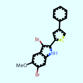 COc1cc2c(Br)c(-c3cc(-c4ccccc4)cs3)[nH]c2cc1Br